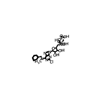 CN(Cc1ccccc1)c1nc(Cl)nc2c1ncn2C1OC(CNP(=O)(O)CP(=O)(O)O)C(O)C1O